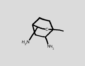 CC12CCC(CC1N)C(N)C2